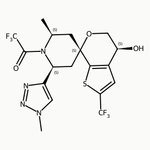 C[C@H]1C[C@@]2(C[C@@H](c3cn(C)nn3)N1C(=O)C(F)(F)F)OC[C@@H](O)c1cc(C(F)(F)F)sc12